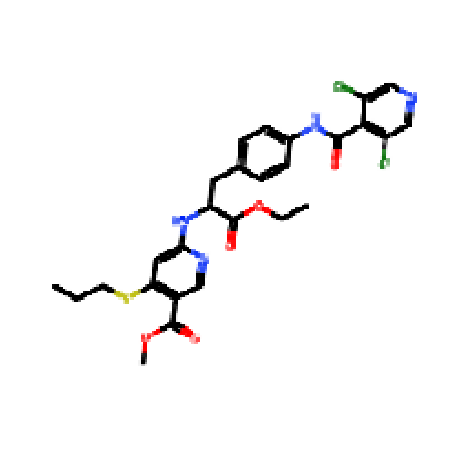 CCCSc1cc(NC(Cc2ccc(NC(=O)c3c(Cl)cncc3Cl)cc2)C(=O)OCC)ncc1C(=O)OC